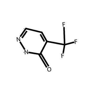 O=C1[N]N=[C]C=C1C(F)(F)F